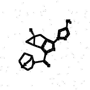 O=C(N1CCN2CCC1CC2)n1nc(-n2cc(C(F)(F)F)cn2)c2c1C1C[C@H]1C2